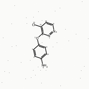 Nc1ccc(Oc2nnccc2Cl)cc1